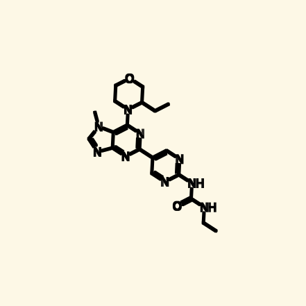 CCNC(=O)Nc1ncc(-c2nc(N3CCOCC3CC)c3c(ncn3C)n2)cn1